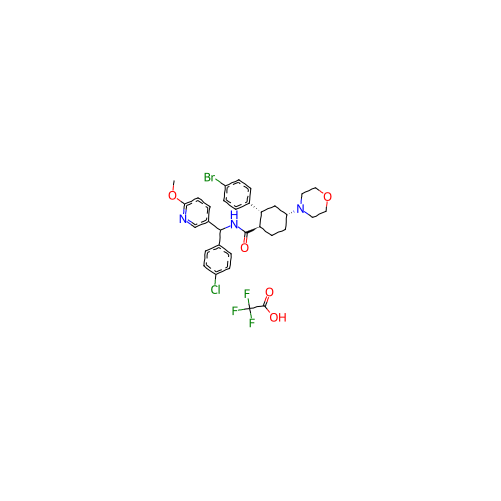 COc1ccc(C(NC(=O)[C@@H]2CC[C@@H](N3CCOCC3)C[C@H]2c2ccc(Br)cc2)c2ccc(Cl)cc2)cn1.O=C(O)C(F)(F)F